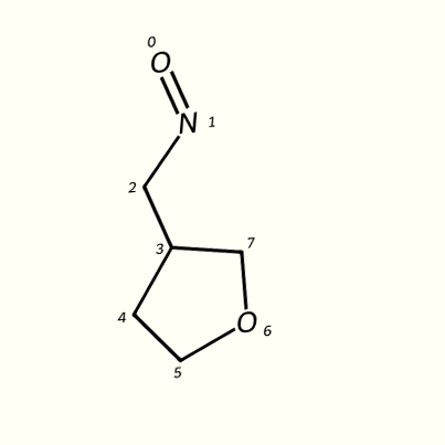 O=NCC1CCOC1